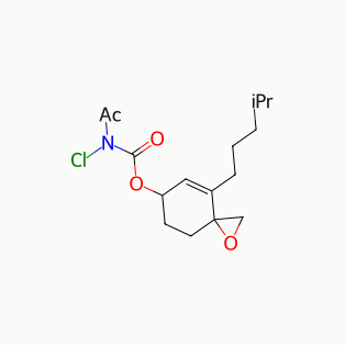 CC(=O)N(Cl)C(=O)OC1C=C(CCCC(C)C)C2(CC1)CO2